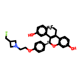 CCC1=C(c2cccc(O)c2)[C@@H](c2ccc(OCCN3CC(CF)C3)cc2)Oc2cc(O)ccc21